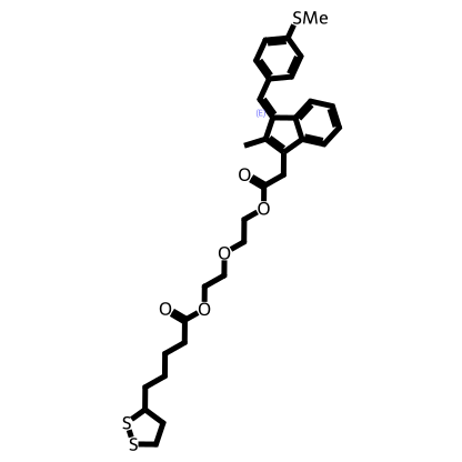 CSc1ccc(/C=C2/C(C)=C(CC(=O)OCCOCCOC(=O)CCCCC3CCSS3)c3ccccc32)cc1